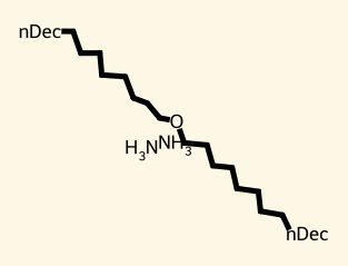 CCCCCCCCCCCCCCCCCCOCCCCCCCCCCCCCCCCCC.N.N